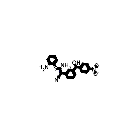 N#C/C(=C(/N)Sc1ccccc1N)c1cccc(C(O)c2ccc([N+](=O)[O-])cc2)c1